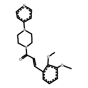 COc1cccc(C=CC(=O)N2CCN(c3ccncc3)CC2)c1OC